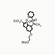 CCOC(=O)c1cc2cc(OCCOC)cc(N(C)S(=O)(=O)c3ccccn3)c2[nH]1